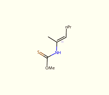 CCC/C=C(\C)NC(=S)OC